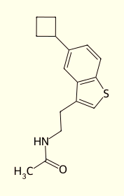 CC(=O)NCCc1csc2ccc(C3CCC3)cc12